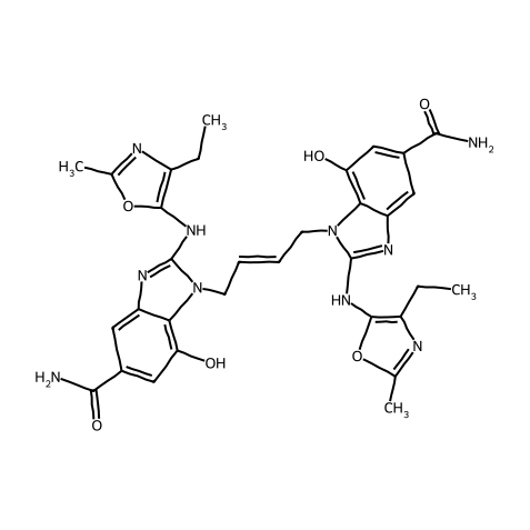 CCc1nc(C)oc1Nc1nc2cc(C(N)=O)cc(O)c2n1C/C=C/Cn1c(Nc2oc(C)nc2CC)nc2cc(C(N)=O)cc(O)c21